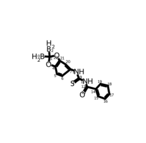 BC1(B)Oc2ccc(NC(=S)NC(=O)c3ccccc3)cc2O1